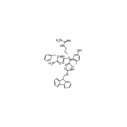 N=C(N)NCCC[C@H](NC(=O)[C@H](Cc1ccc(O)cc1)NC(=O)OCC1c2ccccc2-c2ccccc21)C(=O)N[C@@H](Cc1ccccc1)C(N)=O